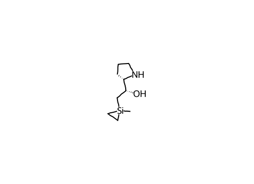 C[Si]1(C[C@@H](O)[C@@H]2CCCN2)CC1